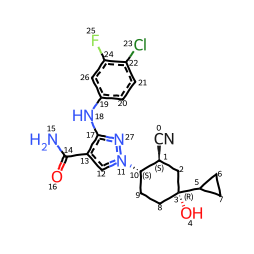 N#C[C@H]1C[C@@](O)(C2CC2)CC[C@@H]1n1cc(C(N)=O)c(Nc2ccc(Cl)c(F)c2)n1